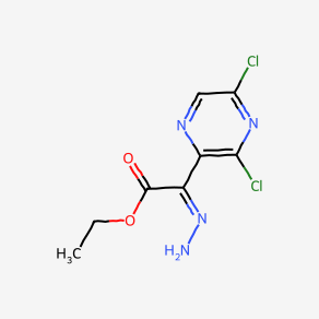 CCOC(=O)/C(=N\N)c1ncc(Cl)nc1Cl